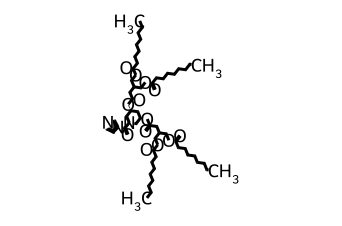 CCCCCCCCC(=O)OCC(COC(=O)CCCCCCCC)CC(=O)O[C@@H]1C[C@@H](OC(=O)CC(COC(=O)CCCCCCCC)COC(=O)CCCCCCCC)CN(C(=O)n2ccnc2)C1